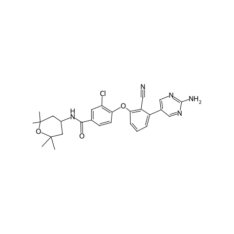 CC1(C)CC(NC(=O)c2ccc(Oc3cccc(-c4cnc(N)nc4)c3C#N)c(Cl)c2)CC(C)(C)O1